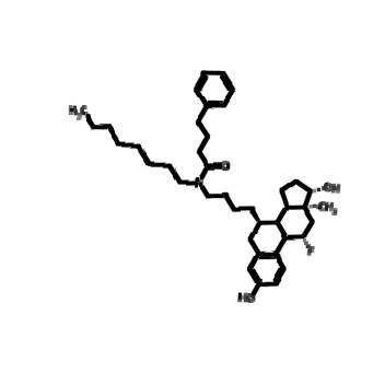 CCCCCCCCN(CCCC[C@@H]1Cc2cc(O)ccc2C2C1C1CC[C@H](O)[C@@]1(C)C[C@@H]2F)C(=O)CCCc1ccccc1